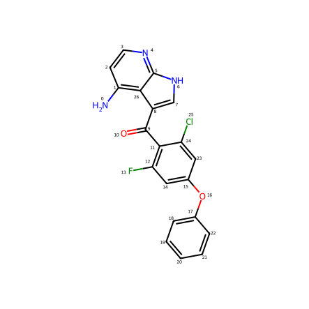 Nc1ccnc2[nH]cc(C(=O)c3c(F)cc(Oc4ccccc4)cc3Cl)c12